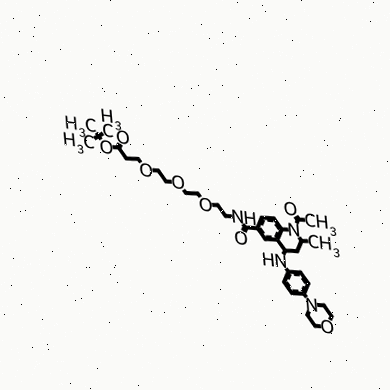 CC(=O)N1c2ccc(C(=O)NCCOCCOCCOCCC(=O)OC(C)(C)C)cc2C(Nc2ccc(N3CCOCC3)cc2)CC1C